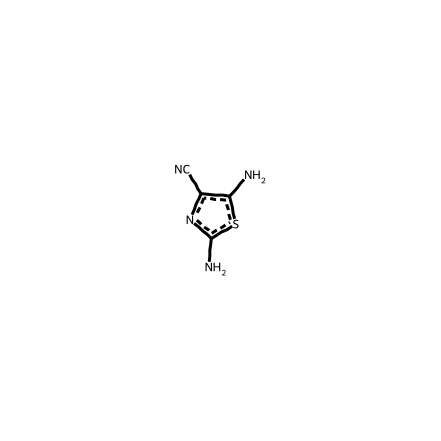 N#Cc1nc(N)sc1N